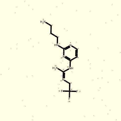 NCCCNc1nccc(N/C(N)=N\CC(F)(F)F)n1